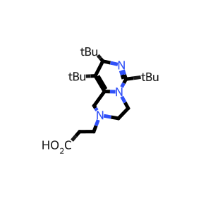 CC(C)(C)C1=NC(C(C)(C)C)C(C(C)(C)C)=C2CN(CCC(=O)O)CCN12